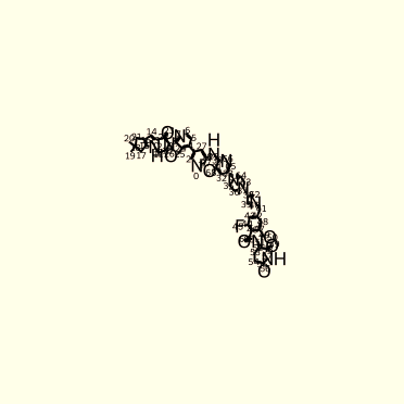 Cn1cc(-c2ccnc(N3CCn4c(cc5c4CC(C)(C)C5)C3=O)c2CO)cc(Nc2ccc(N3CCN(C4CN(Cc5cc(F)c6c(c5)C(=O)N(C5CCC(=O)NC5=O)C6=O)C4)CC3)cn2)c1=O